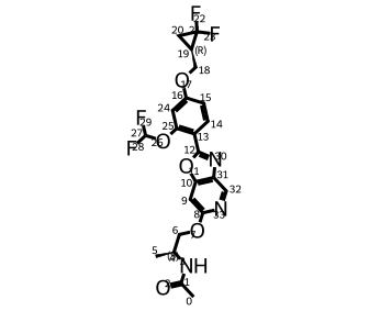 CC(=O)N[C@@H](C)COc1cc2oc(-c3ccc(OC[C@H]4CC4(F)F)cc3OC(F)F)nc2cn1